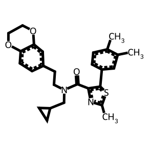 Cc1nc(C(=O)N(CCc2ccc3c(c2)OCCO3)CC2CC2)c(-c2ccc(C)c(C)c2)s1